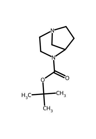 CC(C)(C)OC(=O)N1CCN2CCC1C2